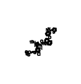 CN1CCC[C@H]1c1nnc2ccc(O[C@@H]3CC[C@H](NC(=O)Nc4cc(C(C)(C)C)nn4-c4ccc(Cl)c(OCCOS(C)(=O)=O)c4)c4ccccc43)cn12